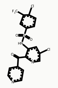 O=C(c1ccncc1)c1ncc(Cl)cc1NS(=O)(=O)c1ccc(Cl)c(C(F)(F)F)c1